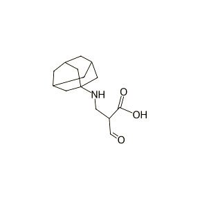 O=CC(CNC12CC3CC(CC(C3)C1)C2)C(=O)O